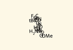 COC(=O)c1cccc(-n2cc(NC(=O)c3coc(-c4ccnc(N(CC(F)(F)F)C(=O)OC(C)(C)C)c4)n3)c(C(N)=O)n2)c1